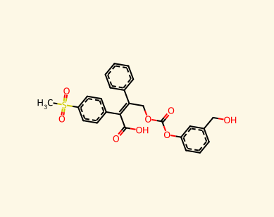 CS(=O)(=O)c1ccc(/C(C(=O)O)=C(/COC(=O)Oc2cccc(CO)c2)c2ccccc2)cc1